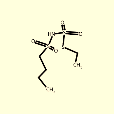 CCCCS(=O)(=O)NS(=O)(=O)SCC